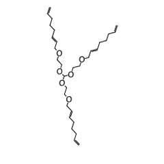 C=CCCCC=CCOCCOC(OCCOCC=CCCCC=C)OCCOCC=CCCCC=C